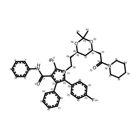 CC(C)c1c(C(=O)Nc2ccccc2)c(-c2ccccc2)c(-c2ccc(F)cc2)n1CC[C@@H]1C[C@H](CC(=O)N2CCCCC2)OC(C)(C)O1